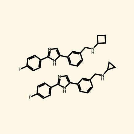 Fc1ccc(-c2ncc(-c3cccc(CNC4CC4)c3)[nH]2)cc1.Fc1ccc(-c2ncc(-c3cccc(CNC4CCC4)c3)[nH]2)cc1